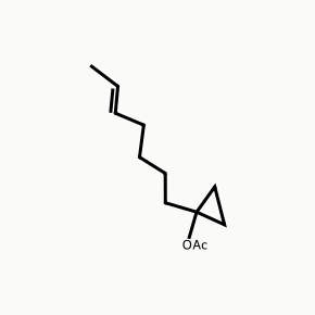 C/C=C/CCCCC1(OC(C)=O)CC1